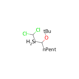 CCCCCC(OC(C)(C)C)[SiH2]C(Cl)Cl